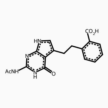 CC(=O)Nc1nc2[nH]cc(CCc3ccccc3C(=O)O)c2c(=O)[nH]1